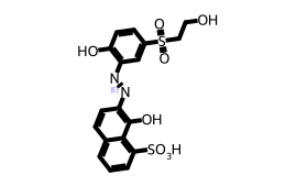 O=S(=O)(O)c1cccc2ccc(/N=N/c3cc(S(=O)(=O)CCO)ccc3O)c(O)c12